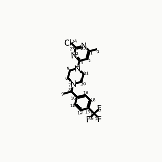 Cc1cc(N2CCN(C(C)c3ccc(C(F)(F)F)cc3)CC2)nc(Cl)n1